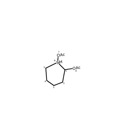 CC(=O)OC1CCCC[SiH]1OC(C)=O